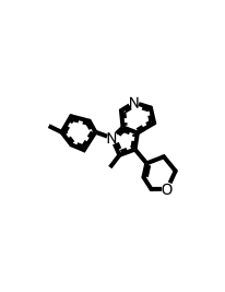 Cc1ccc(-n2c(C)c(C3=CCOCC3)c3ccncc32)cc1